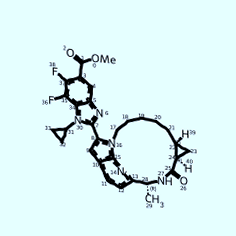 COC(=O)c1cc2nc(-c3cc4ccc5nc4n3CCCCC[C@@H]3C[C@H]3C(=O)N[C@@H]5C)n(C3CC3)c2c(F)c1F